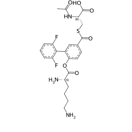 CC(=O)N[C@@H](CSC(=O)c1ccc(OC(=O)[C@@H](N)CCCCN)c(-c2c(F)cccc2F)c1)C(=O)O